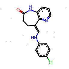 O=C1CC/C(=C\Nc2ccc(Cl)cc2)c2ncccc2N1